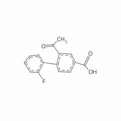 CC(=O)c1cc(C(=O)O)ccc1-c1ccccc1F